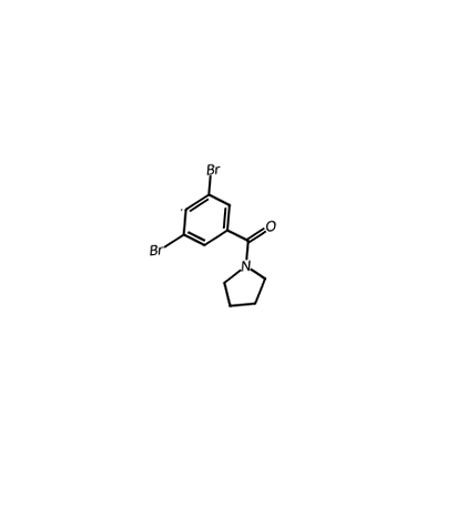 O=C(c1cc(Br)[c]c(Br)c1)N1CCCC1